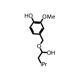 COc1cc(COC(O)CC(C)C)ccc1O